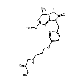 CCCCOc1nc(N)c2[nH]c(=O)n(Cc3ccc(OCCCNCC(=O)OC(C)(C)C)cc3)c2n1